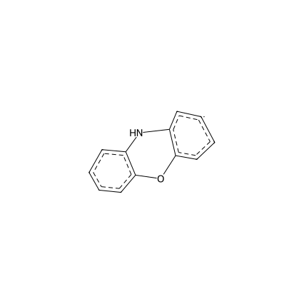 [c]1ccc2c(c1)Nc1ccccc1O2